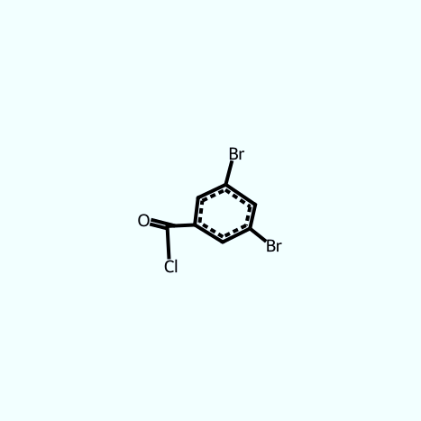 O=C(Cl)c1cc(Br)cc(Br)c1